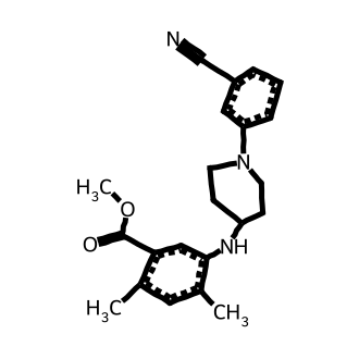 COC(=O)c1cc(NC2CCN(c3cccc(C#N)c3)CC2)c(C)cc1C